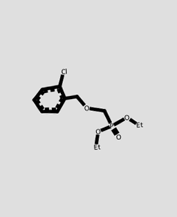 CCOP(=O)(COCc1ccccc1Cl)OCC